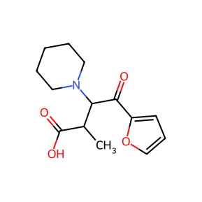 CC(C(=O)O)C(C(=O)c1ccco1)N1CCCCC1